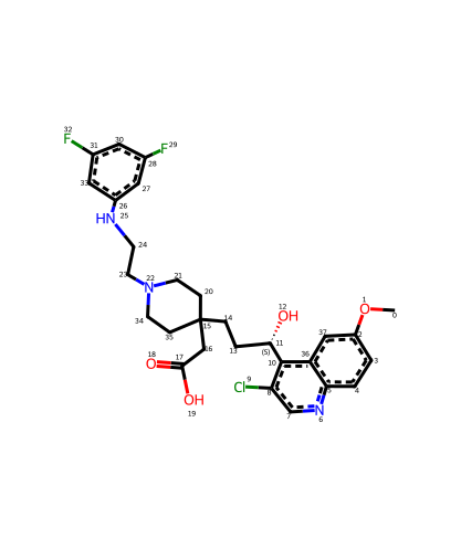 COc1ccc2ncc(Cl)c([C@@H](O)CCC3(CC(=O)O)CCN(CCNc4cc(F)cc(F)c4)CC3)c2c1